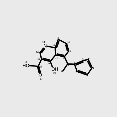 CC(c1ccccc1)c1cccc2ncc(C(=O)O)c(O)c12